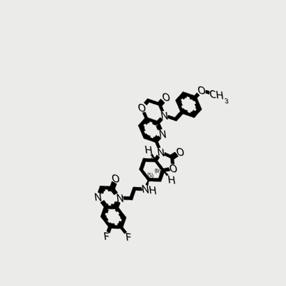 COc1ccc(CN2C(=O)COc3ccc(N4C(=O)O[C@@H]5C[C@@H](NCCn6c(=O)cnc7cc(F)c(F)cc76)CC[C@@H]54)nc32)cc1